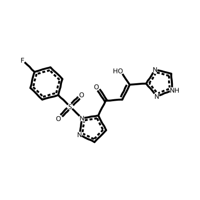 O=C(C=C(O)c1nc[nH]n1)c1ccnn1S(=O)(=O)c1ccc(F)cc1